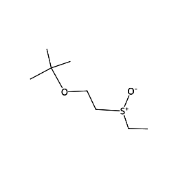 CC[S+]([O-])CCOC(C)(C)C